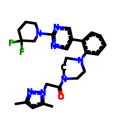 Cc1cc(C)n(CC(=O)N2CCN(c3ccccc3-c3cnc(N4CCCC(F)(F)C4)nc3)CC2)n1